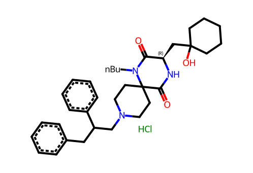 CCCCN1C(=O)[C@@H](CC2(O)CCCCC2)NC(=O)C12CCN(CC(Cc1ccccc1)c1ccccc1)CC2.Cl